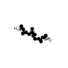 CC1(C)c2ccccc2-c2ccc(-n3c4ccccc4c4cc(-c5cccc(-c6nc(-c7ccccc7)nc7c6-c6ccc(-c8cccc(-c9ccc%10c(c9)c9ccccc9n%10-c9ccc%10c(c9)C(C)(C)c9ccccc9-%10)c8)c8cccc-7c68)c5)ccc43)cc21